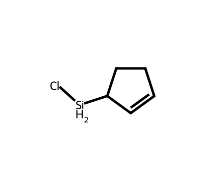 Cl[SiH2]C1C=CCC1